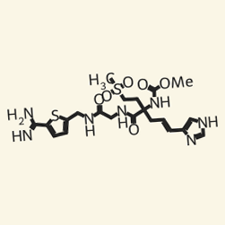 COC(=O)NC(C/C=C/c1c[nH]cn1)(CCS(C)(=O)=O)C(=O)NCC(=O)NCc1ccc(C(=N)N)s1